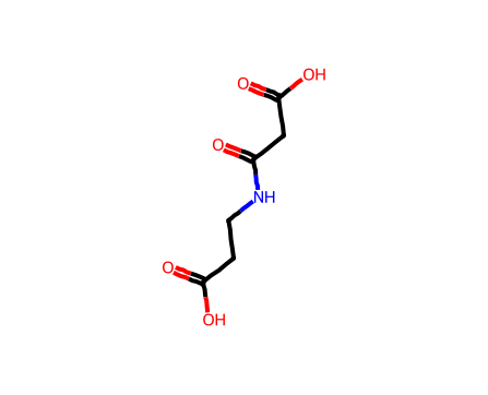 O=C(O)CCNC(=O)CC(=O)O